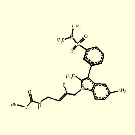 Cc1ccc2c(c1)c(-c1cccc(S(=O)(=O)N(C)C)c1)c(C)n2C/C(F)=C/CNC(=O)OC(C)(C)C